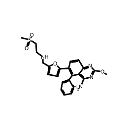 COc1nc(N)c2c(-c3ccccc3)c(-c3ccc(CNCCS(C)(=O)=O)o3)ccc2n1